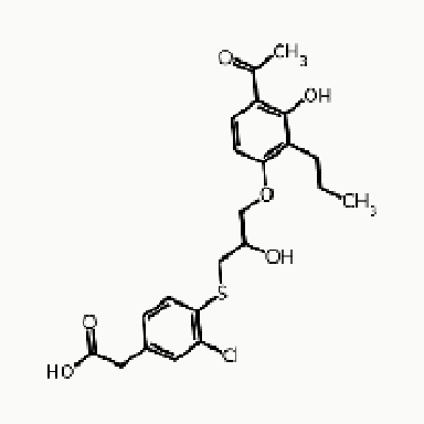 CCCc1c(OCC(O)CSc2ccc(CC(=O)O)cc2Cl)ccc(C(C)=O)c1O